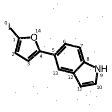 Ic1ccc(-c2ccc3[nH]ccc3c2)o1